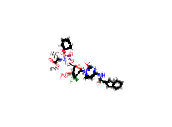 CC(C)OC(=O)[C@H](C)NP(=O)(OC[C@H]1O[C@@H](n2ccc(NC(=O)C3Cc4ccccc4C3)nc2=O)C(F)(F)[C@@H]1O)Oc1ccccc1